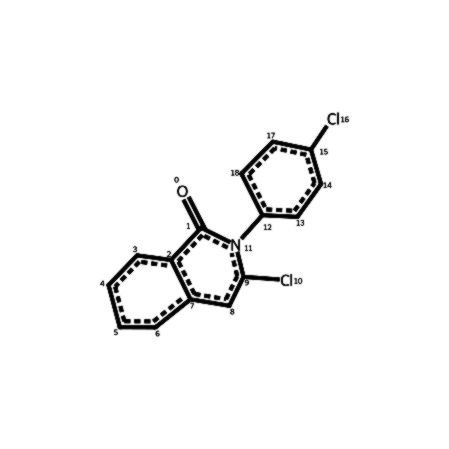 O=c1c2ccccc2cc(Cl)n1-c1ccc(Cl)cc1